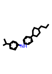 CCCC1CCC(c2ccc(Nc3ccc(C(C)C)cc3)cc2)CC1